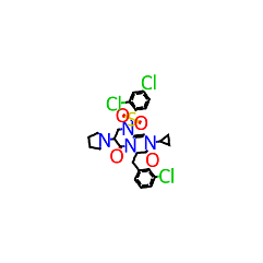 O=C1C(Cc2cccc(Cl)c2)N2C(=O)C(N3CCCC3)CN(S(=O)(=O)c3ccc(Cl)cc3Cl)C2=CN1C1CC1